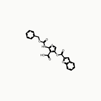 O=C(Nc1scc(OC(=O)c2cc3ccccc3o2)c1C(=O)O)OCc1ccccc1